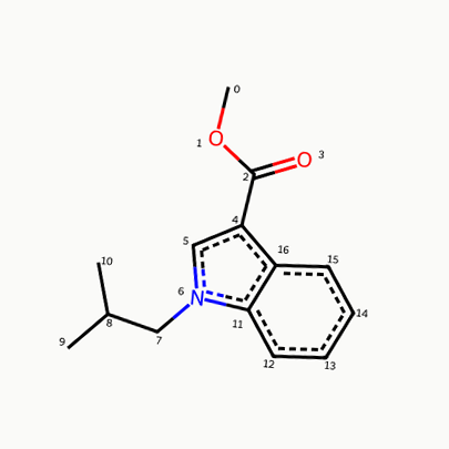 COC(=O)c1cn(CC(C)C)c2ccccc12